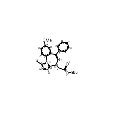 CCCCOC(=O)C[C@@H]1N=C(c2ccccc2)c2cc(OC)ccc2-n2c(C)nnc21